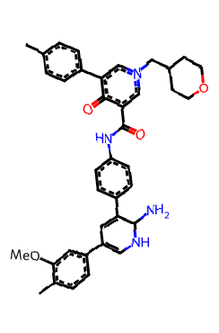 COc1cc(C2=CNC(N)C(c3ccc(NC(=O)c4cn(CC5CCOCC5)cc(-c5ccc(C)cc5)c4=O)cc3)=C2)ccc1C